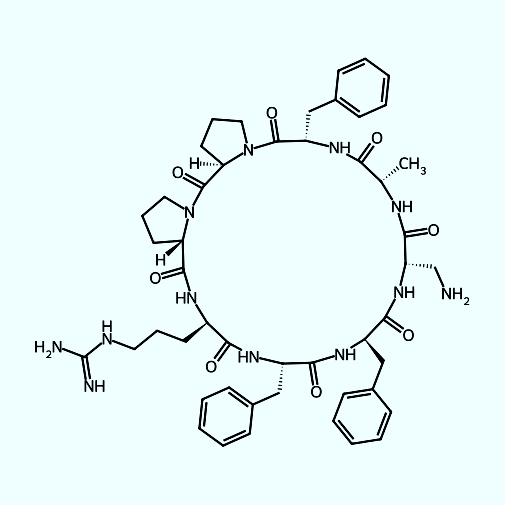 C[C@@H]1NC(=O)[C@H](CN)NC(=O)[C@@H](Cc2ccccc2)NC(=O)[C@H](Cc2ccccc2)NC(=O)[C@@H](CCCNC(=N)N)NC(=O)[C@@H]2CCCN2C(=O)[C@H]2CCCN2C(=O)[C@H](Cc2ccccc2)NC1=O